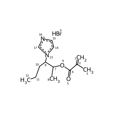 Br.C=C(C)C(=O)OC(C)C(CCC)n1ccnc1